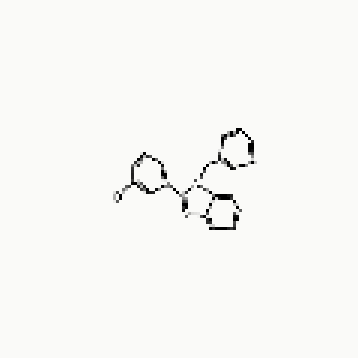 Oc1cccc(-c2nc3ccccc3n2Cc2ccccc2)c1